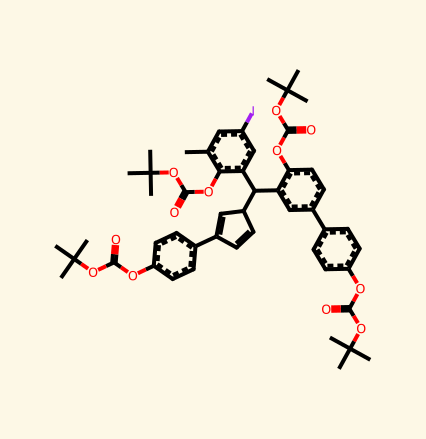 Cc1cc(I)cc(C(c2cc(-c3ccc(OC(=O)OC(C)(C)C)cc3)ccc2OC(=O)OC(C)(C)C)C2C=CC(c3ccc(OC(=O)OC(C)(C)C)cc3)=C2)c1OC(=O)OC(C)(C)C